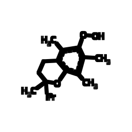 Cc1c(C)c2c(c(C)c1OO)CCC(C)(C(C)C)O2